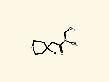 CCN(C)C(=O)CC1(O)CCOCC1